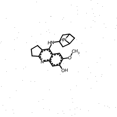 COc1cc2c(NC3CC4CC(C3)N4)c3c(nc2cc1O)CCC3